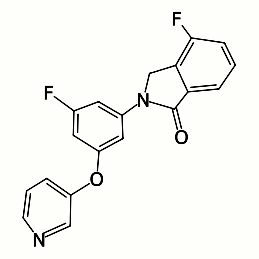 O=C1c2cccc(F)c2CN1c1cc(F)cc(Oc2cccnc2)c1